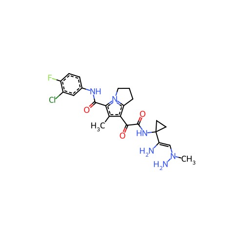 Cc1c(C(=O)C(=O)NC2(/C(N)=C/N(C)N)CC2)c2n(c1C(=O)Nc1ccc(F)c(Cl)c1)CCC2